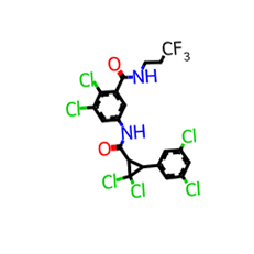 O=C(NCCC(F)(F)F)c1cc(NC(=O)C2C(c3cc(Cl)cc(Cl)c3)C2(Cl)Cl)cc(Cl)c1Cl